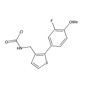 COc1ccc(-c2sccc2CNC(=O)Cl)cc1F